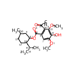 COc1cc(C(=O)OC2CC(C)CCC2C(C)C)c(C(C)=O)c(OC)c1O